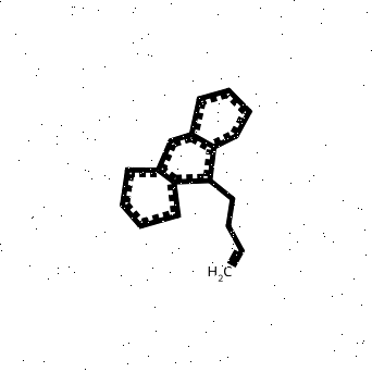 C=CCCc1c2ccccc2cc2ccccc12